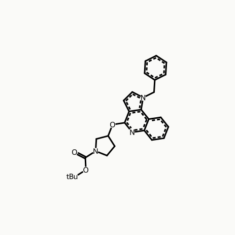 CC(C)(C)OC(=O)N1CCC(Oc2nc3ccccc3c3c2ccn3Cc2ccccc2)C1